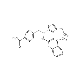 CCc1csc(C(Cc2ccc(C(N)=O)cc2)NC(=O)Cc2ccccc2OC)n1